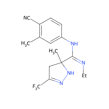 CC/N=C(/Nc1ccc(C#N)c(C)c1)C1(C)CC(C(F)(F)F)=NN1